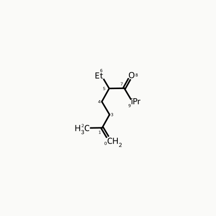 C=C(C)CCC(CC)C(=O)C(C)C